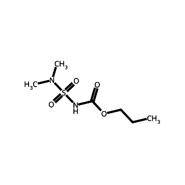 CCCOC(=O)NS(=O)(=O)N(C)C